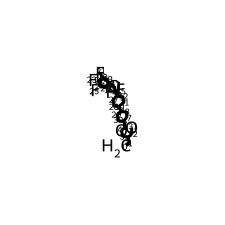 C=CC1COC(C2CCC(C3CCC(C(F)(F)Oc4cc(F)c(F)c(F)c4)CC3)CC2)OC1